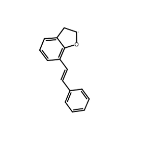 [CH]1Cc2cccc(C=Cc3ccccc3)c2O1